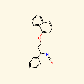 O=C=NC(CCOc1cccc2ccccc12)c1ccccc1